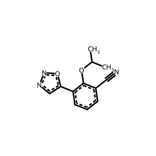 CC(C)Oc1c(C#N)cccc1-c1cnno1